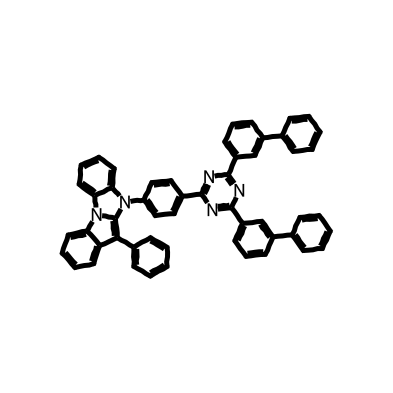 c1ccc(-c2cccc(-c3nc(-c4ccc(-n5c6ccccc6n6c7ccccc7c(-c7ccccc7)c56)cc4)nc(-c4cccc(-c5ccccc5)c4)n3)c2)cc1